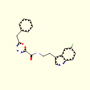 O=C(NCCc1c[nH]c2ccc(Cl)cc12)c1nnc(Cc2ccccc2)o1